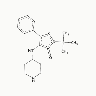 CC(C)(C)n1sc(-c2ccccc2)c(NC2CCNCC2)c1=O